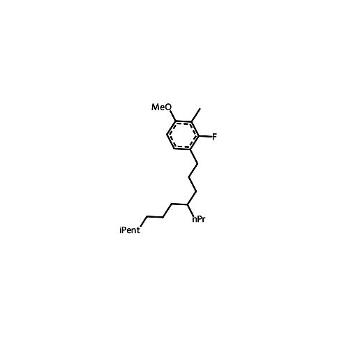 CCCC(C)CCCC(CCC)CCCc1ccc(OC)c(C)c1F